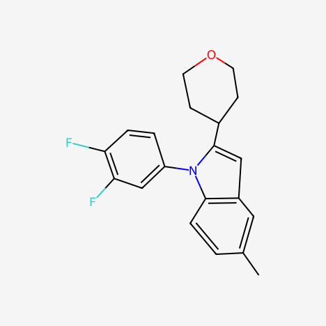 Cc1ccc2c(c1)cc(C1CCOCC1)n2-c1ccc(F)c(F)c1